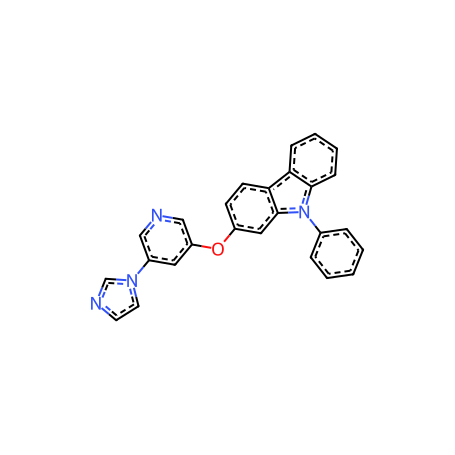 c1ccc(-n2c3ccccc3c3ccc(Oc4cncc(-n5ccnc5)c4)cc32)cc1